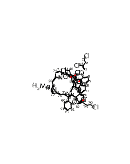 ClCCC(Cl)=COc1ccccc1C1=CC2=CC3=NC(=CC4=NC(=CC5=NC(=C(c6ccccc6OC=C(Cl)CCCl)C1=N2)C(c1ccccc1OC=C(Cl)CCCl)=C5c1ccccc1OC=C(Cl)CCCl)C=C4)C=C3.[MgH2]